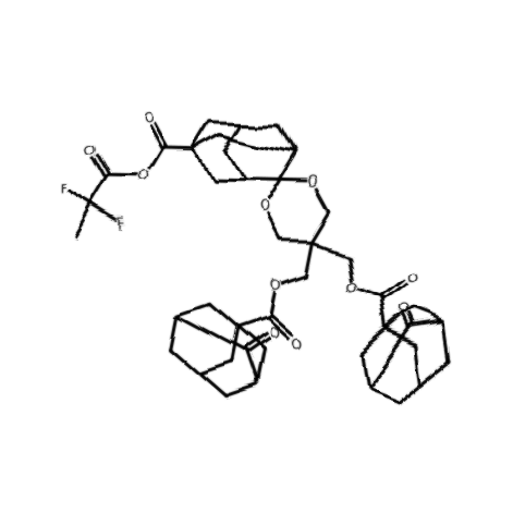 CC(F)(F)C(=O)OC(=O)C12CC3CC(C1)C1(OCC(COC(=O)C45CC6CC(C4)C(=O)C(C6)C5)(COC(=O)C45CC6CC(C4)C(=O)C(C6)C5)CO1)C(C3)C2